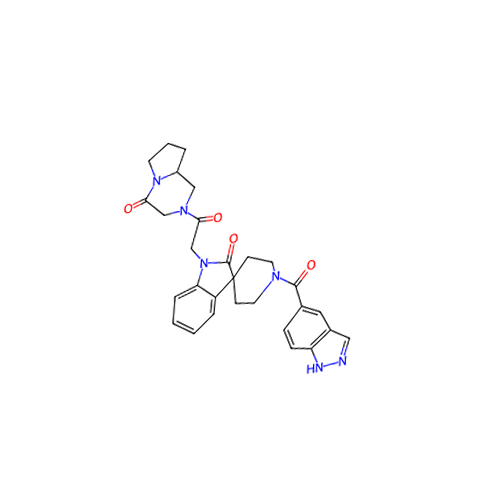 O=C(CN1C(=O)C2(CCN(C(=O)c3ccc4[nH]ncc4c3)CC2)c2ccccc21)N1CC(=O)N2CCCC2C1